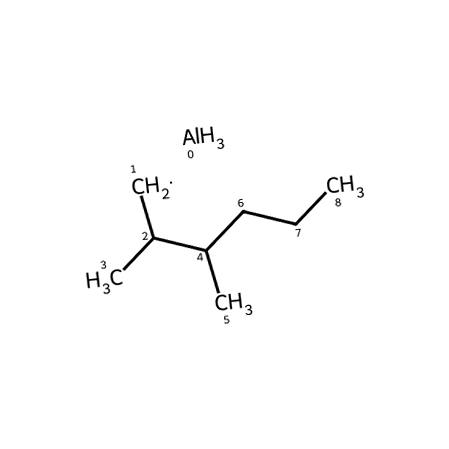 [AlH3].[CH2]C(C)C(C)CCC